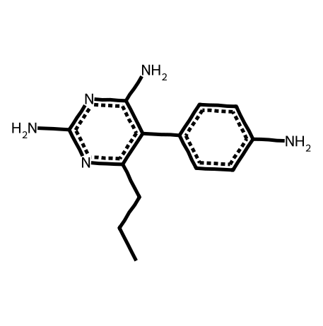 CCCc1nc(N)nc(N)c1-c1ccc(N)cc1